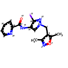 Cc1noc(C)c1Cn1cc(NC(=O)c2ccccn2)c(I)n1